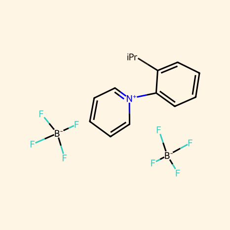 CC(C)c1ccccc1-[n+]1ccccc1.F[B-](F)(F)F.F[B-](F)(F)F